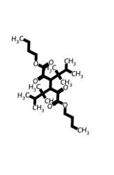 CCCCOC(=O)C(=O)C(C(C(=O)C(=O)OCCCC)C(C)(C)C(C)C)C(C)(C)C(C)C